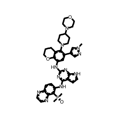 Cn1cc(-c2cc(Nc3nc(Nc4ccc5nccnc5c4P(C)(C)=O)c4cc[nH]c4n3)c3c(c2N2CCC(N4CCOCC4)CC2)CCCO3)cn1